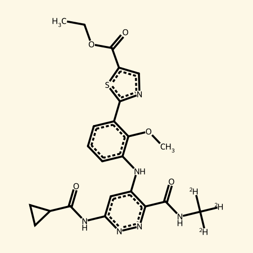 [2H]C([2H])([2H])NC(=O)c1nnc(NC(=O)C2CC2)cc1Nc1cccc(-c2ncc(C(=O)OCC)s2)c1OC